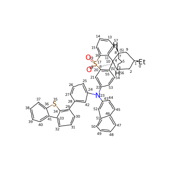 CC[C@H]1C[C@@H]2C[C@@H](C)C[C@@H](C1)C21c2ccccc2S(=O)(=O)c2cc(N(c3cccc(-c4cccc5c4sc4ccccc45)c3)c3ccc4ccccc4c3)ccc21